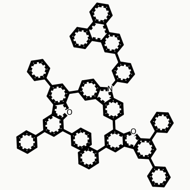 c1ccc(-c2cc(-c3ccccc3)c3oc4c(-c5ccc6c(c5)c5cc(-c7cc(-c8ccccc8)cc8c7oc7c(-c9ccccc9)cc(-c9ccccc9)cc78)ccc5n6-c5cccc(-c6ccc7c8ccccc8c8ccccc8c7c6)c5)cc(-c5ccccc5)cc4c3c2)cc1